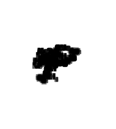 COc1ccc(C(OC[C@H]2OC(n3cnc4c(=O)[nH]c(NC(=O)CCNC(=O)c5ccc(CNC(=O)OCC6c7ccccc7-c7ccccc76)cc5)nc43)C[C@H]2OP(OCCC#N)OC[C@H]2O[C@@H](n3ccc(NC(=O)CCCN(C)C(=O)OCC4c5ccccc5-c5ccccc54)nc3=O)C[C@H]2OP(OCCC#N)N(C(C)C)C(C)C)(c2ccccc2)c2ccc(OC)cc2)cc1